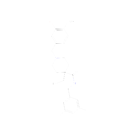 C=C(NCc1cc(C(F)(F)F)cc(C(F)(F)F)c1)C1(CC(C)C)CCN(Cc2ccc(OC)c(O)c2)CC1